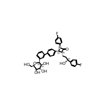 O=C1[C@H](CC[C@H](O)c2ccc(F)cc2)[C@@H](c2ccc(-c3cccc([C@@H]4O[C@@H](CO)[C@H](O)[C@@H](O)[C@@H]4O)c3)cc2)N1c1ccc(F)cc1